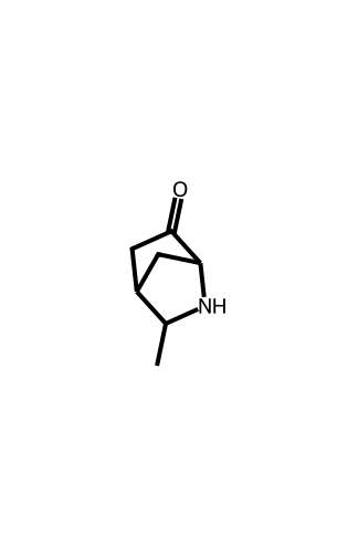 CC1NC2CC1CC2=O